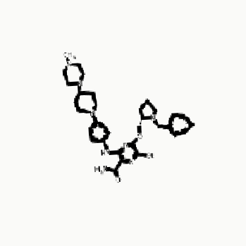 CCc1nc(C(N)=O)c(Nc2ccc(N3CCC(N4CCN(C)CC4)CC3)cc2)nc1OC[C@@H]1CCCN1Cc1ccccc1